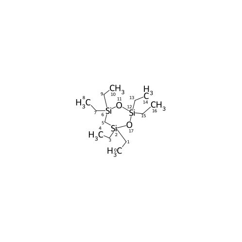 CC[Si]1(CC)C[Si](CC)(CC)O[Si](CC)(CC)O1